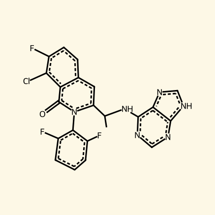 CC(Nc1ncnc2[nH]cnc12)c1cc2ccc(F)c(Cl)c2c(=O)n1-c1c(F)cccc1F